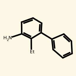 CCc1c(N)cccc1-c1ccccc1